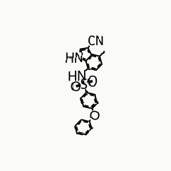 Cc1ccc(NS(=O)(=O)c2ccc(Oc3ccccc3)cc2)c2[nH]cc(C#N)c12